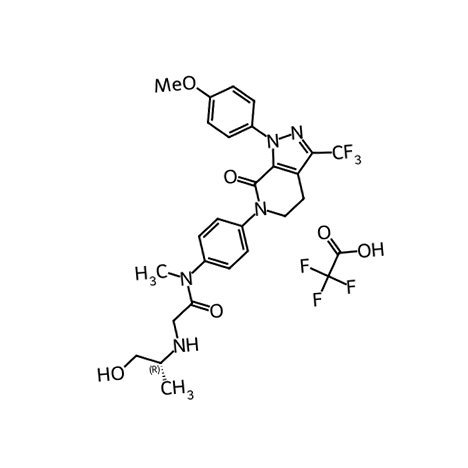 COc1ccc(-n2nc(C(F)(F)F)c3c2C(=O)N(c2ccc(N(C)C(=O)CN[C@H](C)CO)cc2)CC3)cc1.O=C(O)C(F)(F)F